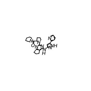 O=C(C1CCCN1c1nc2c(c(Nc3cc(-c4ccccn4)[nH]n3)n1)CCC2)N1CCCCC1